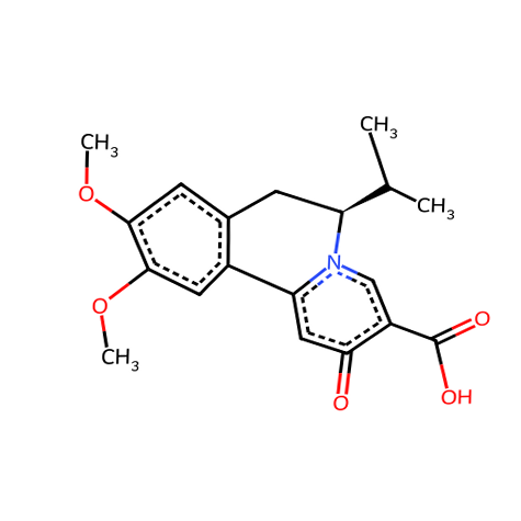 COc1cc2c(cc1OC)-c1cc(=O)c(C(=O)O)cn1[C@H](C(C)C)C2